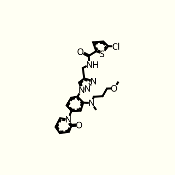 COCCCN(C)c1cc(-n2ccccc2=O)ccc1-n1cc(CNC(=O)c2ccc(Cl)s2)nn1